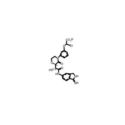 CCC(Oc1cccc(N2CCO[C@H]([C@@H](O)C(=O)Nc3ccc4c(c3)CNC4=N)C2=O)c1)C(=O)O